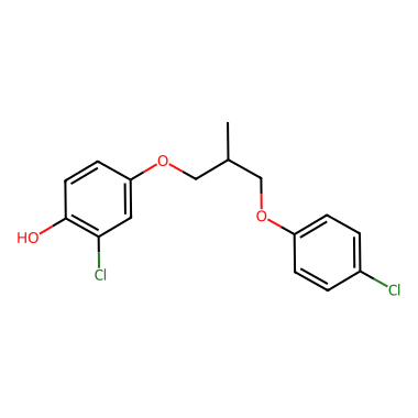 CC(COc1ccc(Cl)cc1)COc1ccc(O)c(Cl)c1